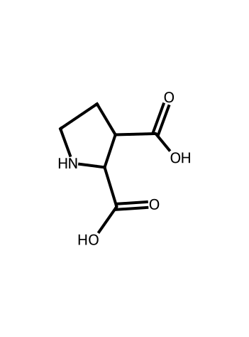 O=C(O)C1CCNC1C(=O)O